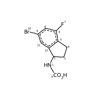 O=C(O)NC1CCc2c(F)cc(Br)cc21